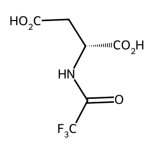 O=C(O)C[C@@H](NC(=O)C(F)(F)F)C(=O)O